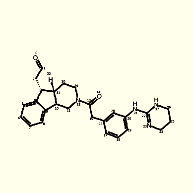 O=CC[C@H]1c2ccccc2C2CN(C(=O)Cc3cccc(NC4=NCCCN4)c3)CC[C@H]21